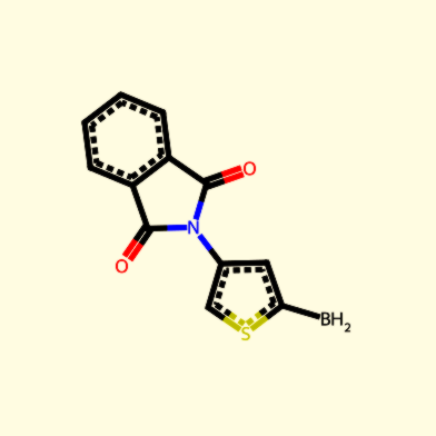 Bc1cc(N2C(=O)c3ccccc3C2=O)cs1